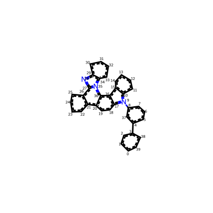 c1ccc(-c2cccc(-n3c4ccccc4c4c3ccc3c5ccccc5c5nc6ccccc6n5c34)c2)cc1